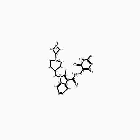 Cc1cc(C)c(CNC(=O)c2c(C)n(CC3CCN(C4CNC4)CC3)c3ccccc23)c(=O)[nH]1